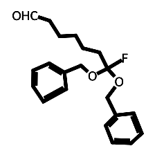 O=CCCCCCC(F)(OCc1ccccc1)OCc1ccccc1